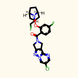 O=C(c1ccc(F)cc1O[C@H]1C[C@H]2CC[C@@H](C1)N2CCF)N1Cc2nn3cc(Cl)cnc3c2C1